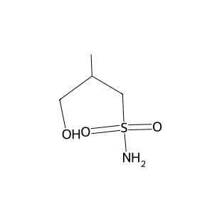 CC(CO)CS(N)(=O)=O